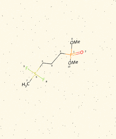 COP(=O)(CCCS(C)(F)F)OC